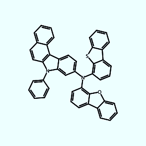 c1ccc(-n2c3cc(N(c4cccc5c4oc4ccccc45)c4cccc5c4sc4ccccc45)ccc3c3c4ccccc4ccc32)cc1